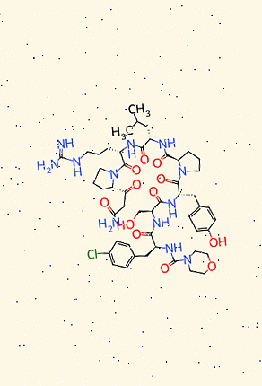 CC(C)C[C@H](NC(=O)[C@H]1CCCN1C(=O)[C@H](Cc1ccc(O)cc1)NC(=O)[C@H](CO)NC(=O)[C@H](Cc1ccc(Cl)cc1)NC(=O)N1CCOCC1)C(=O)N[C@@H](CCCNC(=N)N)C(=O)N1CCC[C@H]1C(=O)CC(N)=O